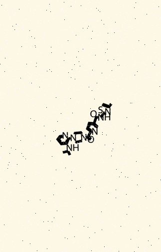 Cc1csc(NC(=O)c2ccc(C(=O)N3CCN(c4ncccc4NC(C)C)CC3)nc2)n1